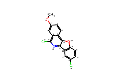 COc1ccc2c(c1)c(Cl)nc1c3cc(Cl)ccc3oc21